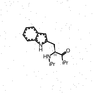 CC(C)N[C@@H](Cc1cc2ccccc2[nH]1)C(=O)C(C)C